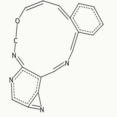 C1=COCN=c2ncc3c(c2C=NC=c2ccccc2=C1)N=3